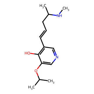 CNC(C)C/C=C/c1cncc(OC(C)C)c1O